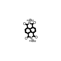 CC[C@@H](C)N1C(=O)c2ccc3c4c(ccc(c24)C1=O)C(=O)N([C@H](C)CC)C3=O